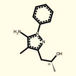 Cc1c(C[C@@H](C)O)nn(-c2ccccc2)c1N